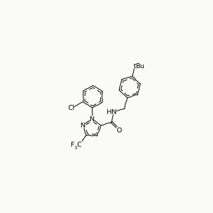 CC(C)(C)c1ccc(CNC(=O)c2cc(C(F)(F)F)nn2-c2ccccc2Cl)cc1